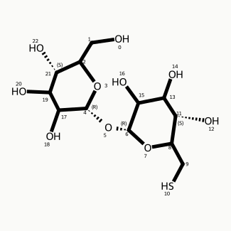 OCC1O[C@H](O[C@H]2OC(CS)[C@@H](O)C(O)C2O)C(O)C(O)[C@@H]1O